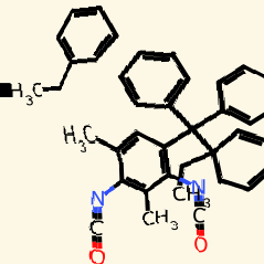 CCC1(C(c2ccccc2)(c2ccccc2)c2cc(C)c(N=C=O)c(C)c2N=C=O)C=CC=CC1.CCc1ccccc1